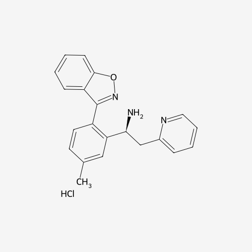 Cc1ccc(-c2noc3ccccc23)c([C@@H](N)Cc2ccccn2)c1.Cl